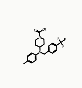 Cc1ccc(N(Cc2ccc(C(F)(F)F)cc2)C2CCN(C(=O)O)CC2)cc1